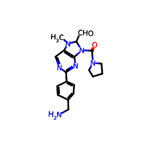 CN1c2cnc(-c3ccc(CN)cc3)nc2N(C(=O)N2CCCC2)C1C=O